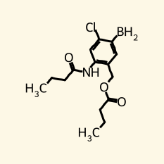 Bc1cc(COC(=O)CCC)c(NC(=O)CCC)cc1Cl